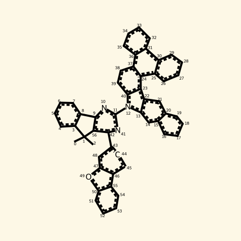 CC1(C)c2ccccc2-c2nc(-n3c4cc5ccccc5cc4c4c5c6ccccc6c6ccccc6c5ccc43)nc(-c3ccc4c(c3)oc3ccccc34)c21